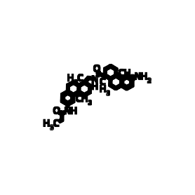 CCC(=O)Nc1ccc2c(c1)C1(C)CCC[C@](C)(CNC(=O)[C@@]3(C)CCCC4(C)c5cc(N)ccc5CCC43)C1CC2